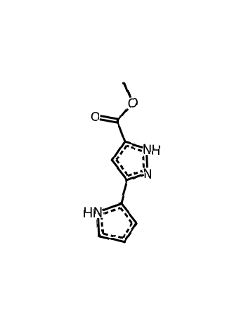 COC(=O)c1cc(-c2ccc[nH]2)n[nH]1